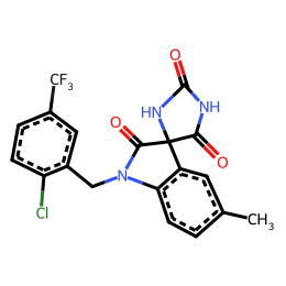 Cc1ccc2c(c1)C1(NC(=O)NC1=O)C(=O)N2Cc1cc(C(F)(F)F)ccc1Cl